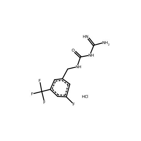 Cl.N=C(N)NC(=O)NCc1cc(F)cc(C(F)(F)F)c1